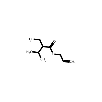 C=CCOC(=O)C(CC)C(C)C